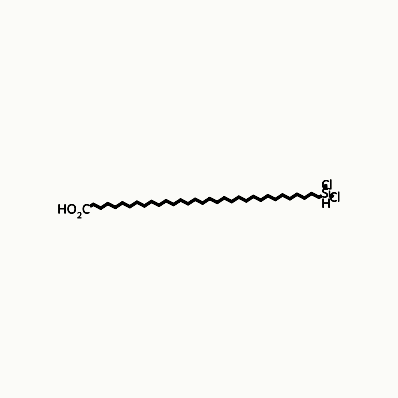 O=C(O)CCCCCCCCCCCCCCCCCCCCCCCCCCCCCCCC[SiH](Cl)Cl